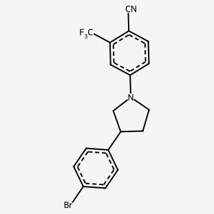 N#Cc1ccc(N2CCC(c3ccc(Br)cc3)C2)cc1C(F)(F)F